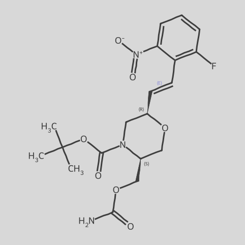 CC(C)(C)OC(=O)N1C[C@@H](/C=C/c2c(F)cccc2[N+](=O)[O-])OC[C@H]1COC(N)=O